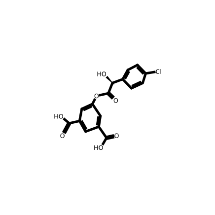 O=C(O)c1cc(OC(=O)[C@@H](O)c2ccc(Cl)cc2)cc(C(=O)O)c1